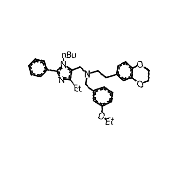 CCCCn1c(-c2ccccc2)nc(CC)c1CN(CCc1ccc2c(c1)OCCO2)Cc1cccc(OCC)c1